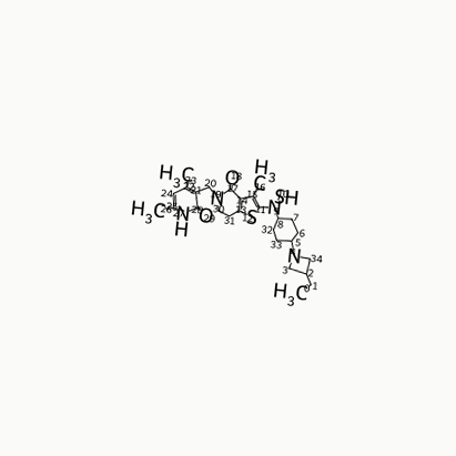 CCC1CN(C2CCC(N(S)c3sc4c(c3C)C(=O)N(Cc3c(C)cc(C)[nH]c3=O)CC4)CC2)C1